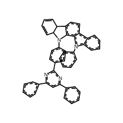 C1=CC2c3ccc4c5ccccc5n(-c5ccccc5)c4c3N(c3ccc(-c4nc(-c5ccccc5)cc(-c5ccccc5)n4)cc3)C2C=C1